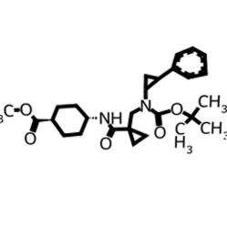 COC(=O)[C@H]1CC[C@H](NC(=O)C2(CN(C(=O)OC(C)(C)C)C3CC3c3ccccc3)CC2)CC1